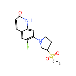 CS(=O)(=O)C1CCN(c2cc3[nH]c(=O)ccc3cc2F)C1